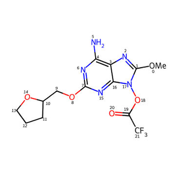 COc1nc2c(N)nc(OCC3CCCO3)nc2n1OC(=O)C(F)(F)F